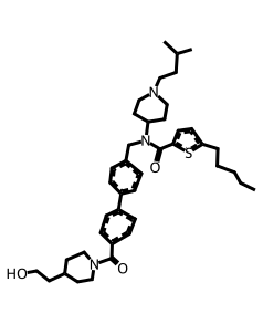 CCCCCc1ccc(C(=O)N(Cc2ccc(-c3ccc(C(=O)N4CCC(CCO)CC4)cc3)cc2)C2CCN(CCC(C)C)CC2)s1